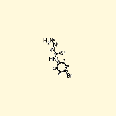 NN=NC(=S)Nc1ccc(Br)cc1